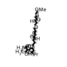 COCCOCC(=O)NCCOCCOCC(=O)NCCCC[C@H](CC(=O)C(C)C)C(=O)C[C@H](C(N)=O)[C@@H](C)O